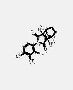 C[C@]12CC[C@](C)(O1)[C@@H]1C(=O)N(c3ccc(C#N)c(C(F)(F)F)c3F)C(=O)[C@@H]12